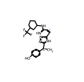 C[C@@H](c1ccc(O)cc1)c1nnc(/C=C\C(=N)NC2CCCC(C(F)(F)F)C2)[nH]1